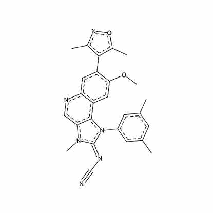 COc1cc2c(cc1-c1c(C)noc1C)ncc1c2n(-c2cc(C)cc(C)c2)c(=NC#N)n1C